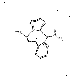 CC1Cc2ccccc2C(C(N)=O)c2ccccc21